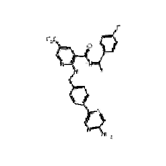 CC(NC(=O)c1cc(C(F)(F)F)cnc1NCc1ccc(-c2cnc(N)cn2)cc1)c1ccc(F)cc1